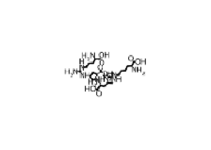 N=C(N)NCCCC(N)C(=O)O.NC(Cc1c[nH]cn1)C(=O)O.NCCCCC(N)C(=O)O.O=C(O)[C@@H]1CCCN1